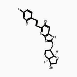 O[C@@H]1CO[C@H]2[C@@H]1OC[C@H]2Oc1nc2nc(/C=C/c3ccc(F)cc3F)c(Cl)cc2[nH]1